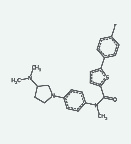 CN(C(=O)c1ccc(-c2ccc(F)cc2)s1)c1ccc(N2CCC(N(C)C)C2)cc1